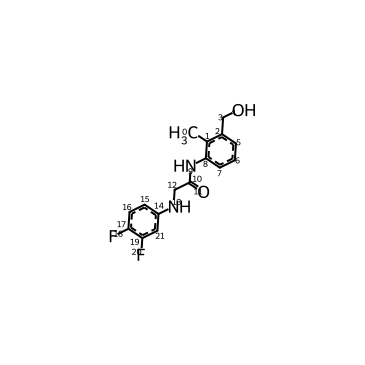 Cc1c(CO)cccc1NC(=O)CNc1ccc(F)c(F)c1